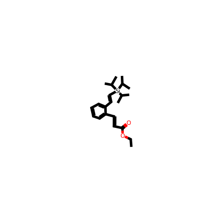 CCOC(=O)/C=C/c1ccccc1/C=C/[Si](C(C)C)(C(C)C)C(C)C